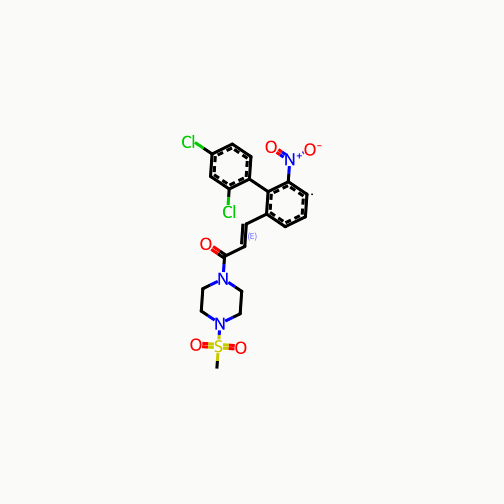 CS(=O)(=O)N1CCN(C(=O)/C=C/c2cc[c]c([N+](=O)[O-])c2-c2ccc(Cl)cc2Cl)CC1